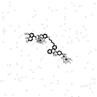 CC(C)(C)OC(=O)NC1CCC(N(C(=O)O)c2ccc(CCCCOc3ccc(CNC[C@H](O[Si](C)(C)C(C)(C)C)c4ccc(O)c5[nH]c(=O)ccc45)cc3)cc2-c2ccccc2)CC1